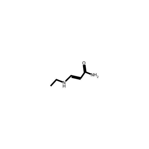 CCN/C=C/C(N)=O